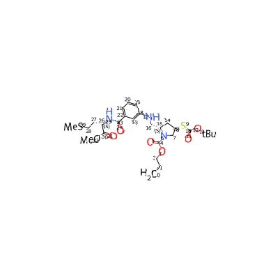 C=CCOC(=O)N1C[C@@H](SC(=O)OC(C)(C)C)C[C@H]1CNc1cccc(C(=O)N[C@@H](CCSC)C(=O)OC)c1